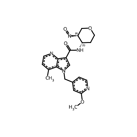 COc1cc(Cn2cc(C(=O)N[C@H]3CCOC[C@@H]3N=O)c3nccc(C)c32)ccn1